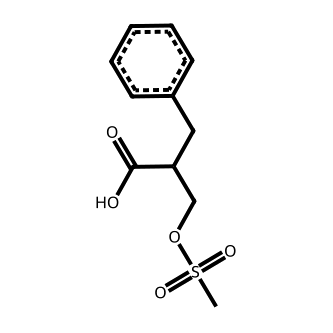 CS(=O)(=O)OCC(Cc1ccccc1)C(=O)O